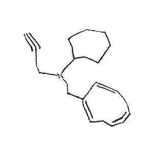 C#CCN(Cc1ccccc1)C1CCCCC1